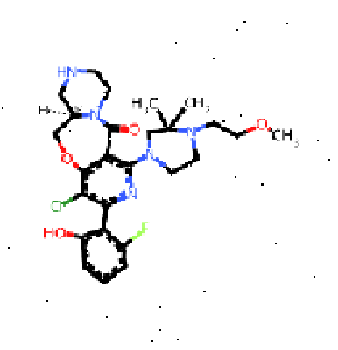 COCCN1CCN(c2nc(-c3c(O)cccc3F)c(Cl)c3c2C(=O)N2CCNC[C@@H]2CO3)CC1(C)C